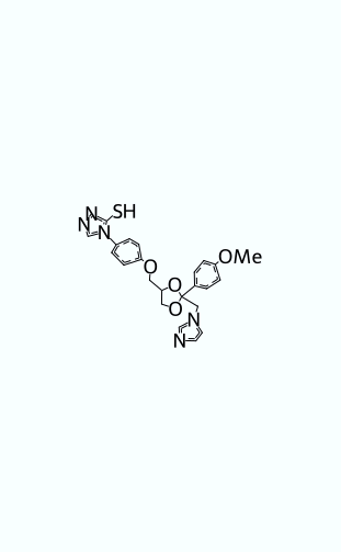 COc1ccc(C2(Cn3ccnc3)OCC(COc3ccc(-n4cnnc4S)cc3)O2)cc1